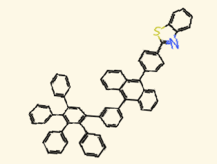 c1ccc(-c2cc(-c3cccc(-c4c5ccccc5c(-c5ccc(-c6nc7ccccc7s6)cc5)c5ccccc45)c3)c(-c3ccccc3)c(-c3ccccc3)c2-c2ccccc2)cc1